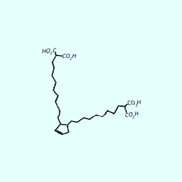 O=C(O)C(CCCCCCCCCC1C=CCC1CCCCCCCCCC(C(=O)O)C(=O)O)C(=O)O